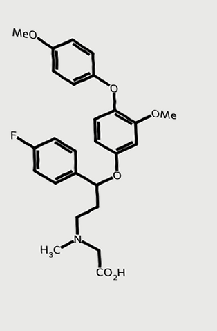 COc1ccc(Oc2ccc(OC(CCN(C)CC(=O)O)c3ccc(F)cc3)cc2OC)cc1